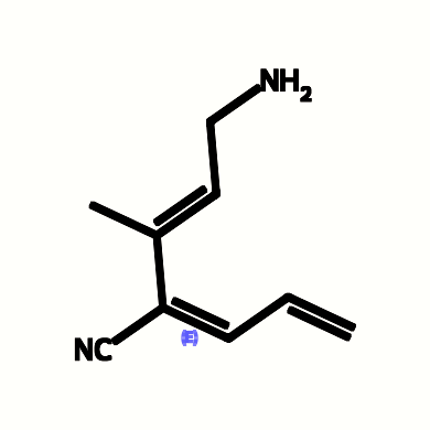 C=C/C=C(/C#N)C(C)=CCN